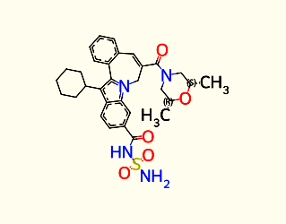 C[C@@H]1CN(C(=O)C2=Cc3ccccc3-c3c(C4CCCCC4)c4ccc(C(=O)NS(N)(=O)=O)cc4n3C2)C[C@H](C)O1